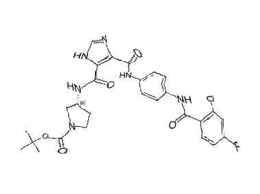 CC(C)(C)OC(=O)N1CC[C@@H](NC(=O)c2[nH]cnc2C(=O)Nc2ccc(NC(=O)c3ccc(F)cc3Cl)cc2)C1